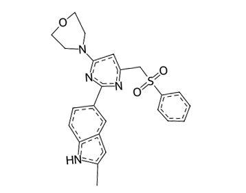 Cc1cc2cc(-c3nc(CS(=O)(=O)c4ccccc4)cc(N4CCOCC4)n3)ccc2[nH]1